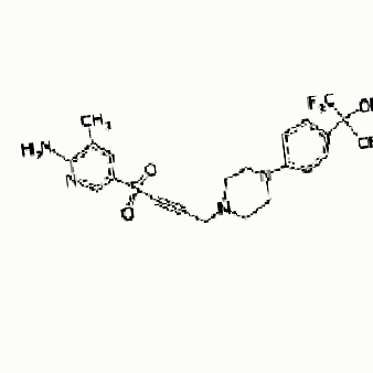 Cc1cc(S(=O)(=O)C#CCN2CCN(c3ccc(C(O)(C(F)(F)F)C(F)(F)F)cc3)CC2)cnc1N